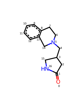 O=C1CC(CN2CCc3cc[c]cc3C2)CN1